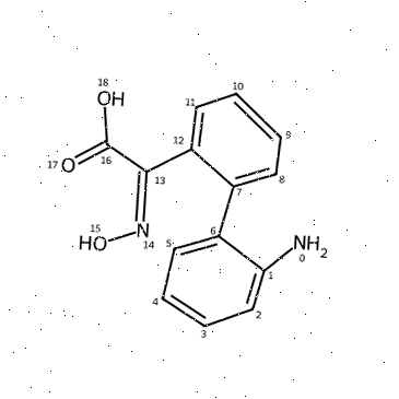 Nc1ccccc1-c1ccccc1/C(=N/O)C(=O)O